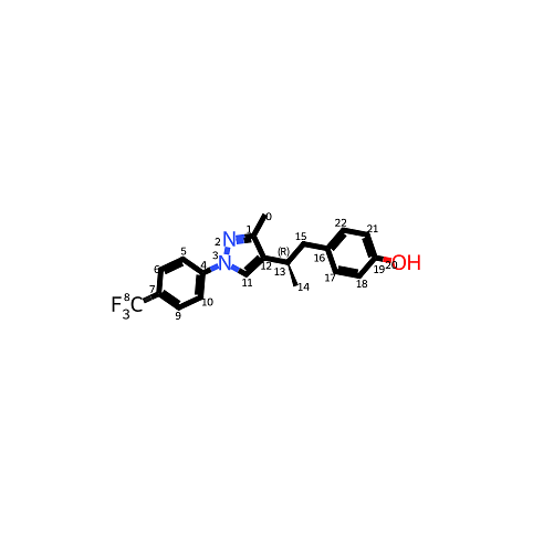 Cc1nn(-c2ccc(C(F)(F)F)cc2)cc1[C@H](C)Cc1ccc(O)cc1